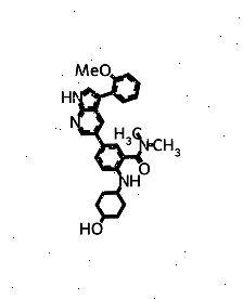 COc1ccccc1-c1c[nH]c2ncc(-c3ccc(NC4CCC(O)CC4)c(C(=O)N(C)C)c3)cc12